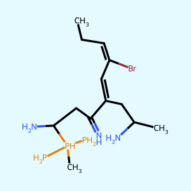 CC/C=C(Br)\C=C(/CC(C)N)C(=N)CC(N)[PH](C)(P)P